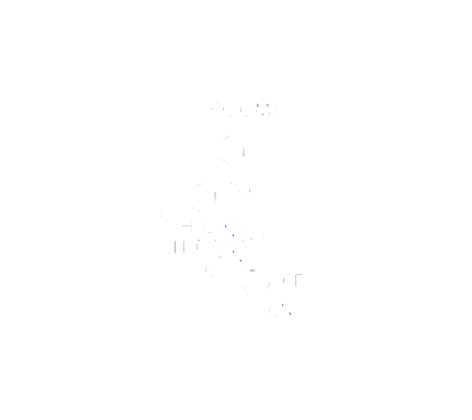 COC(=O)c1ccc(C(=O)c2ccc(Cl)cc2CN2C(=O)N(c3ccc(C#N)c(C(F)(F)F)c3)C(=O)C2(C)C)cc1